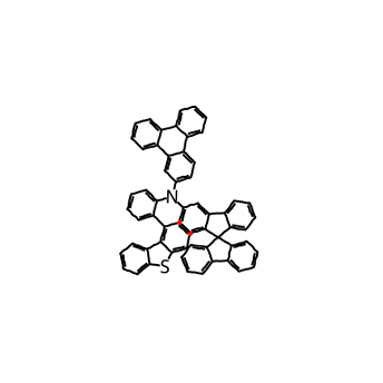 c1ccc(N(c2ccc3c(c2)-c2ccccc2C32c3ccccc3-c3ccccc32)c2ccc3c4ccccc4c4ccccc4c3c2)c(-c2cccc3sc4ccccc4c23)c1